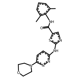 Cc1cccc(C)c1NC(=O)c1cnc(Nc2ccc(N3CCOCC3)nn2)s1